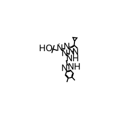 Cc1cc2nc(CNc3nc(N(C)CC(C)(C)O)nc4c(C5CC5)cnn34)[nH]c2cc1C